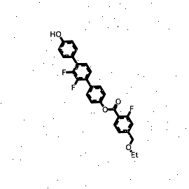 CCOCc1ccc(C(=O)Oc2ccc(-c3ccc(-c4ccc(O)cc4)c(F)c3F)cc2)c(F)c1